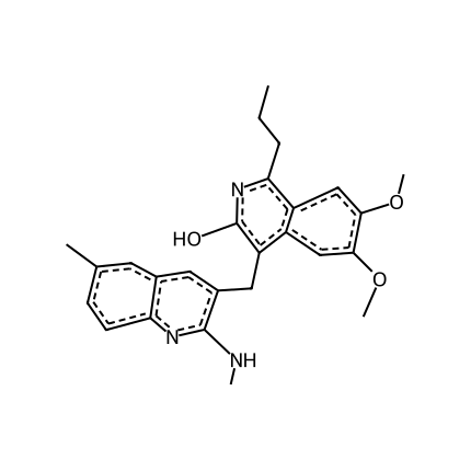 CCCc1nc(O)c(Cc2cc3cc(C)ccc3nc2NC)c2cc(OC)c(OC)cc12